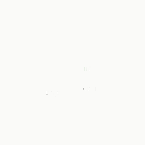 CCOC(=O)c1ccccc1C(=O)O.Cl